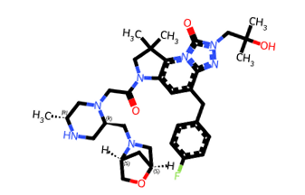 C[C@@H]1CN(CC(=O)N2CC(C)(C)c3c2cc(Cc2ccc(F)cc2)c2nn(CC(C)(C)O)c(=O)n32)[C@@H](CN2C[C@@H]3C[C@H]2CO3)CN1